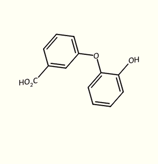 O=C(O)c1cccc(Oc2ccccc2O)c1